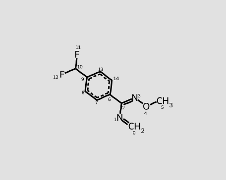 C=N/C(=N\OC)c1ccc(C(F)F)cc1